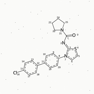 O=C(N=c1sccn1-c1ccc(-c2ccc(Cl)cc2)cc1)N1CCCC1